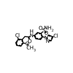 COc1cccc(Cl)c1CC(=O)Nc1ccc(-n2cc(Cl)cn2)c(S(N)(=O)=O)c1